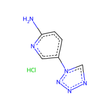 Cl.Nc1ccc(-n2cnnn2)cn1